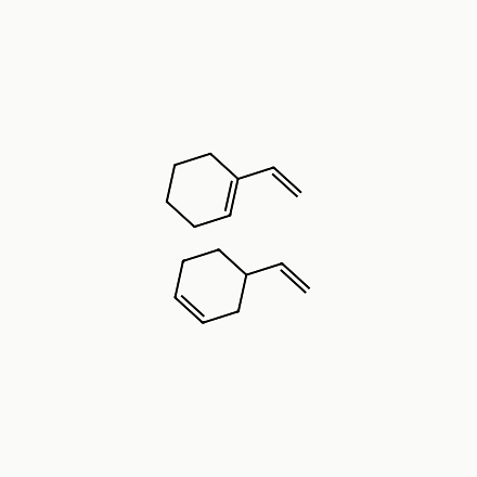 C=CC1=CCCCC1.C=CC1CC=CCC1